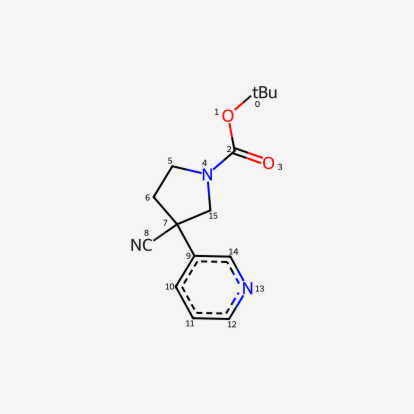 CC(C)(C)OC(=O)N1CCC(C#N)(c2cccnc2)C1